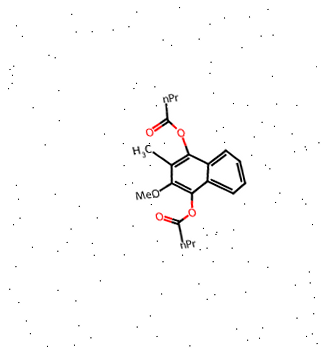 CCCC(=O)Oc1c(C)c(OC)c(OC(=O)CCC)c2ccccc12